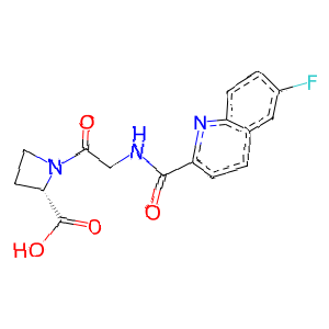 O=C(NCC(=O)N1CC[C@H]1C(=O)O)c1ccc2cc(F)ccc2n1